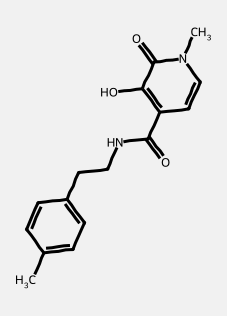 Cc1ccc(CCNC(=O)c2ccn(C)c(=O)c2O)cc1